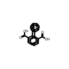 O=C(O)c1ccccc1[C]12[CH]3[CH]4[CH]5[CH]1[Fe]45321678[CH]2[CH]1[CH]6[C]7(c1ccccc1C(=O)O)[CH]28